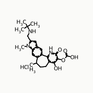 CC1CCc2c([nH]c(=O)c(OC(=O)O)c2O)-c2cc3cc(CNC(C)(C)C)n(C)c3cc21.Cl